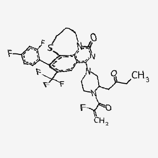 C=C(F)C(=O)N1CCN(c2nc(=O)n3c4c(c(-c5ccc(F)cc5F)c(C(F)(F)F)cc24)SCCC3)CC1CC(=O)CC